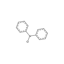 [O][Si](c1ccccc1)c1ccccc1